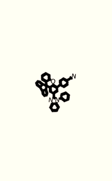 N#Cc1ccc(-c2cc(-c3nc4ccccc4n3-c3ccccc3)cc3c2Oc2ccccc2C32c3ccccc3-c3ccccc32)cc1